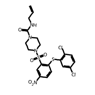 C=CCNC(=O)N1CCN(S(=O)(=O)c2cc([N+](=O)[O-])ccc2Sc2cc(Cl)ccc2Cl)CC1